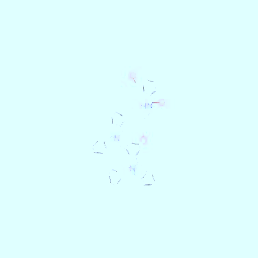 O=Cc1cccc(C(=O)NCCCCOc2cc(CN(Cc3ccccc3)Cc3ccccc3)cc(CN(Cc3ccccc3)Cc3ccccc3)c2)c1